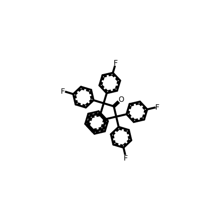 O=C(C(c1ccccc1)(c1ccc(F)cc1)c1ccc(F)cc1)C(c1ccccc1)(c1ccc(F)cc1)c1ccc(F)cc1